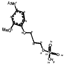 COc1cc(NC(C)=O)ccc1OCCCOS(C)(=O)=O